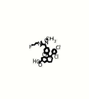 CON=C(c1ccc(C2=C(c3ccc(Cl)cc3Cl)CCCc3cc(C(=O)O)cc(C)c32)cc1)C1CN(CCCF)C1